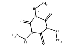 O=c1n(BP)c(=O)n(BP)c(=O)n1BP